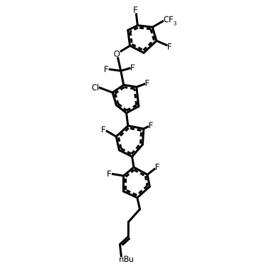 CCCC/C=C/CCc1cc(F)c(-c2cc(F)c(-c3cc(F)c(C(F)(F)Oc4cc(F)c(C(F)(F)F)c(F)c4)c(Cl)c3)c(F)c2)c(F)c1